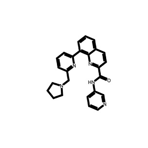 O=C(Nc1cccnc1)c1ccc2cccc(-c3cccc(CN4CCCC4)n3)c2n1